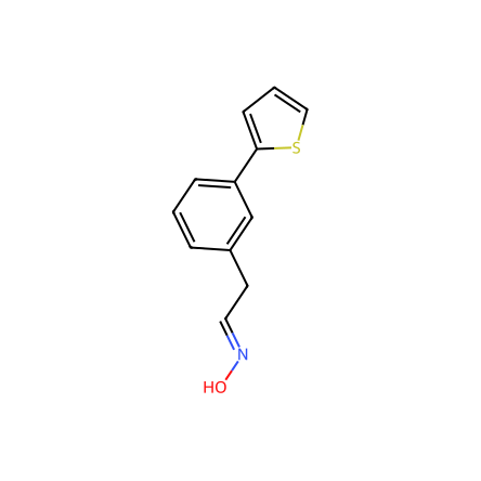 ON=CCc1cccc(-c2cccs2)c1